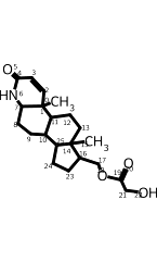 CC12C=CC(=O)NC1CCC1C2CCC2(C)C(COC(=O)CO)CCC12